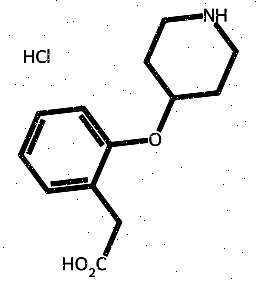 Cl.O=C(O)Cc1ccccc1OC1CCNCC1